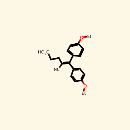 CCOc1ccc(C(=C(C#N)CCC(=O)O)c2ccc(OCC)cc2)cc1